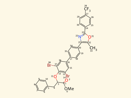 COC(=O)C(Cc1ccccc1)Oc1c(Br)cc(-c2ccc(-c3nc(-c4ccc(C(F)(F)F)cc4)oc3C)cc2)cc1Br